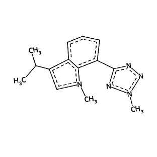 CC(C)c1cn(C)c2c(-c3nnn(C)n3)cccc12